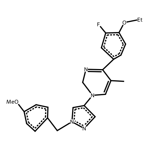 CCOc1ccc(C2=NCN(c3cnn(Cc4ccc(OC)cc4)c3)C=C2C)cc1F